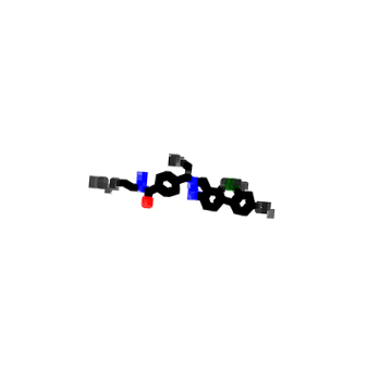 COc1c(-c2ccc(C(F)(F)F)cc2Cl)ccc2nn([C@H](CC(C)C)c3ccc(C(=O)NCCC(=O)O)cc3)cc12